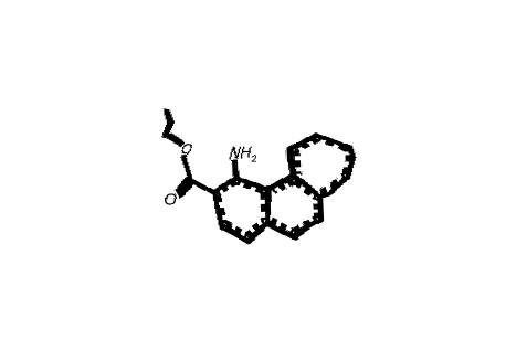 CCOC(=O)c1ccc2ccc3ccccc3c2c1N